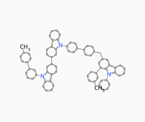 Cc1ccc(-c2cccc(-n3c4ccccc4c4ccc(-c5ccc6c7ccccc7n(-c7ccc(-c8ccc(Cc9cc(-c%10cccc(C)c%10)c%10c(c9)c9ccccc9n%10-c9ccccc9)cc8)cc7)c6c5)cc43)c2)cc1